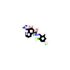 Cc1cc(Cl)cc(Cl)c1CNC(=O)C1(F)CCC(O)(CN(C)C)c2ncccc21